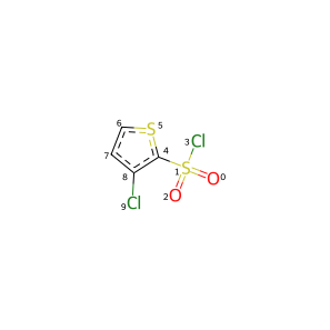 O=S(=O)(Cl)c1sccc1Cl